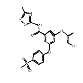 Cc1noc(NC(=O)c2cc(Oc3ccc(S(C)(=O)=O)cc3)cc(OC(C)CO)c2)n1